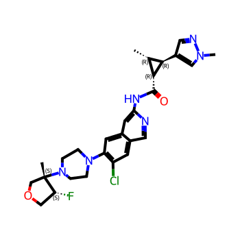 C[C@H]1[C@@H](C(=O)Nc2cc3cc(N4CCN([C@@]5(C)COC[C@H]5F)CC4)c(Cl)cc3cn2)[C@@H]1c1cnn(C)c1